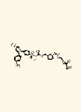 Cc1ccc(-c2cc(C(F)(F)F)nn2-c2ccc(S(=O)(=O)NC(=O)OCC3CCCN(/N=N\OCOC(=O)C(C)(C)C)C3)cc2)cc1